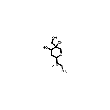 BC[C@H](C)C1CC(O)C(O)(CO)CO1